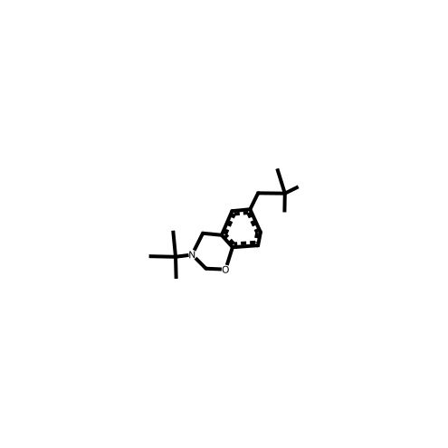 CC(C)(C)Cc1ccc2c(c1)CN(C(C)(C)C)CO2